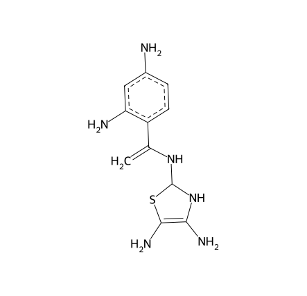 C=C(NC1NC(N)=C(N)S1)c1ccc(N)cc1N